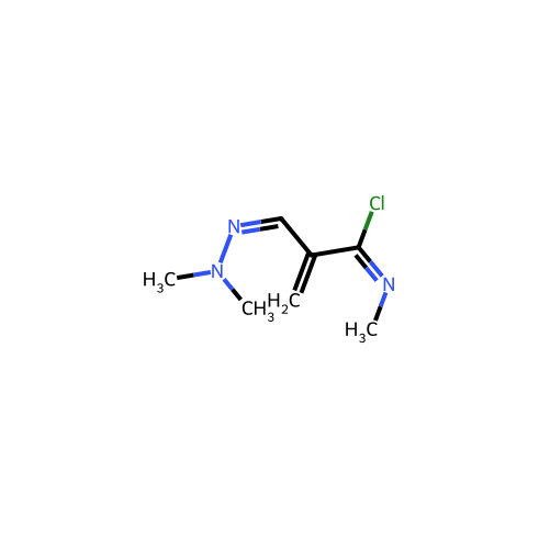 C=C(/C=N\N(C)C)/C(Cl)=N\C